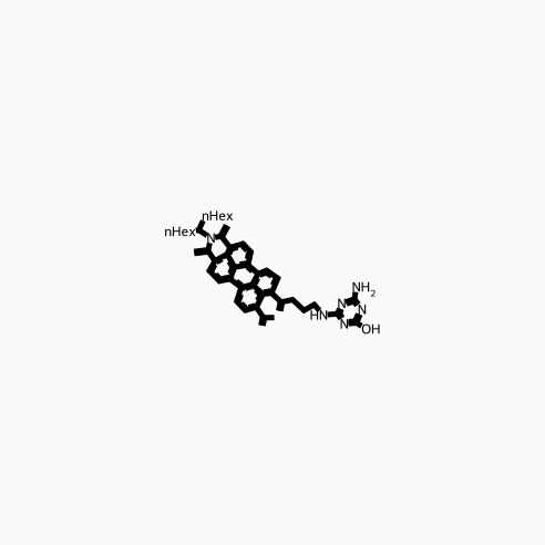 C=C(C)c1ccc2c3ccc4c5c(ccc(c6ccc(C(=C)CCCNc7nc(N)nc(O)n7)c1c26)c53)C(=C)N(C(CCCCCC)CCCCCC)C4=C